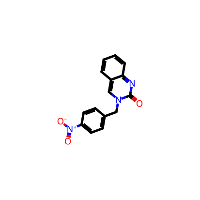 O=c1nc2ccccc2cn1Cc1ccc([N+](=O)[O-])cc1